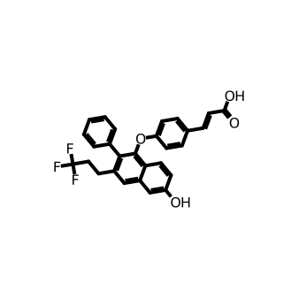 O=C(O)/C=C/c1ccc(Oc2c(-c3ccccc3)c(CCC(F)(F)F)cc3cc(O)ccc23)cc1